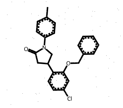 Cc1ccc(N2CC(c3ccc(Cl)cc3OCc3ccccc3)CC2=O)cc1